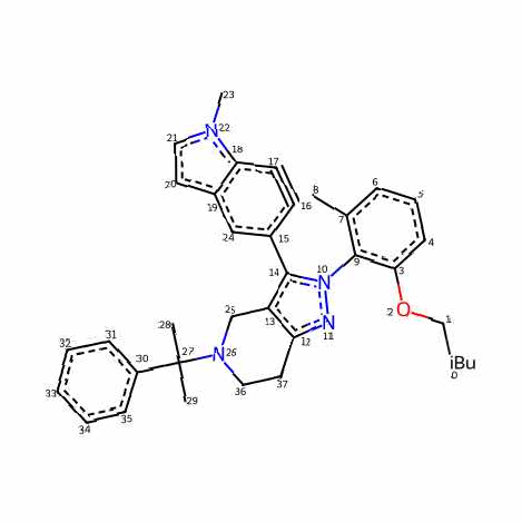 CCC(C)COc1cccc(C)c1-n1nc2c(c1-c1c#cc3c(ccn3C)c1)CN(C(C)(C)c1ccccc1)CC2